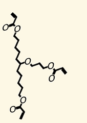 C=CC(=O)OCCCCCC(CCCCCOC(=O)C=C)OCCCOC(=O)C=C